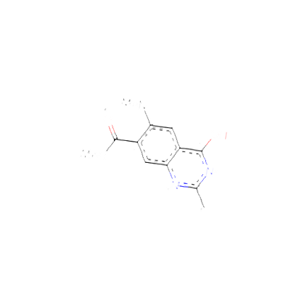 CNc1cc2c(O)nc(C)nc2cc1C(=O)OC